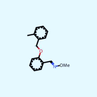 CO/N=C/c1ccccc1O[CH]c1ccccc1C